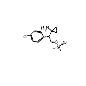 CC(C)(C)[Si](C)(C)OCC(c1ccc(Cl)cc1)C1(N)CC1